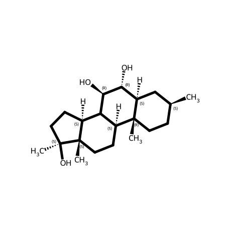 C[C@H]1CC[C@@]2(C)[C@H](C1)[C@@H](O)[C@H](O)C1[C@@H]2CC[C@@]2(C)[C@H]1CC[C@]2(C)O